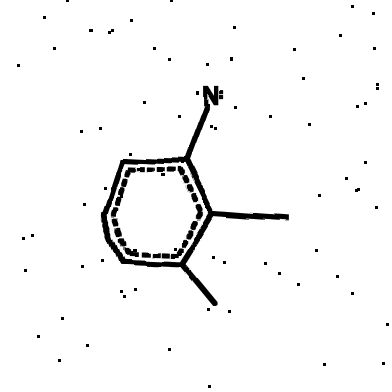 Cc1cccc([N])c1C